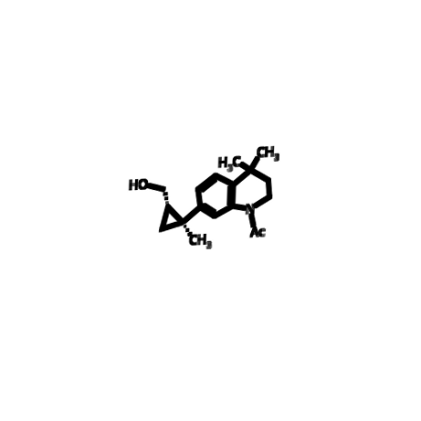 CC(=O)N1CCC(C)(C)c2ccc([C@@]3(C)C[C@@H]3CO)cc21